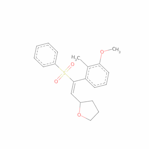 COc1cccc(/C(=C\C2CCCO2)S(=O)(=O)c2ccccc2)c1C